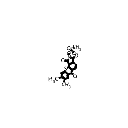 Cc1cc2sc3c4c(ccc3c(=O)c2cc1C)C(=O)N(OS(C)(=O)=O)C4=O